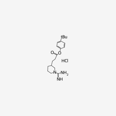 CC(C)(C)c1ccc(OC(=O)CCC2CCCN(C(=N)N)C2)cc1.Cl